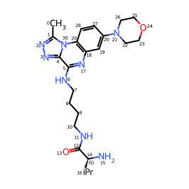 Cc1nnc2c(NCCCCNC(=O)[C@@H](N)C(C)C)nc3cc(N4CCOCC4)ccc3n12